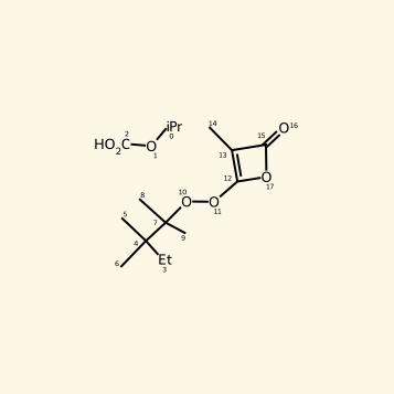 CC(C)OC(=O)O.CCC(C)(C)C(C)(C)OOC1=C(C)C(=O)O1